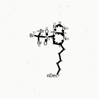 CCCCCCCCCCCCCCCc1cc(S(=O)(=O)C(Br)(Br)Br)n2ncnc2n1